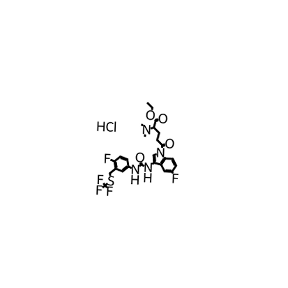 CCOC(=O)C(CCC(=O)n1cc(NC(=O)Nc2ccc(F)c(CSC(F)(F)F)c2)c2cc(F)ccc21)N(C)C.Cl